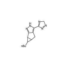 CCCCC1C2Cc3c(n[nH]c3C3=NCN=N3)C12